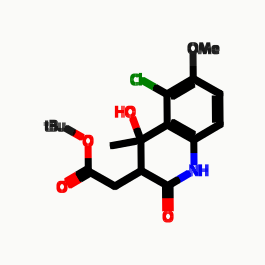 COc1ccc2c(c1Cl)C(C)(O)C(CC(=O)OC(C)(C)C)C(=O)N2